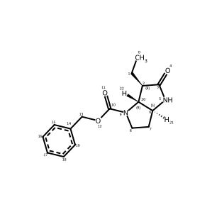 CC[C@H]1C(=O)N[C@H]2CCN(C(=O)OCc3ccccc3)[C@@H]21